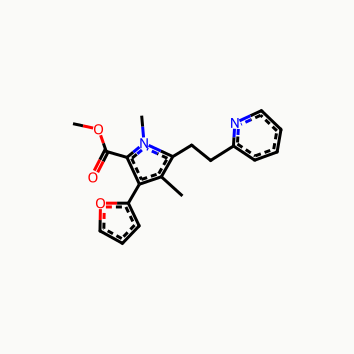 COC(=O)c1c(-c2ccco2)c(C)c(CCc2ccccn2)n1C